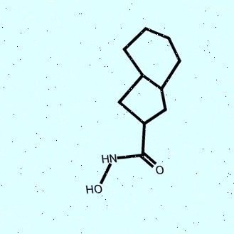 O=C(NO)C1CC2CCCCC2C1